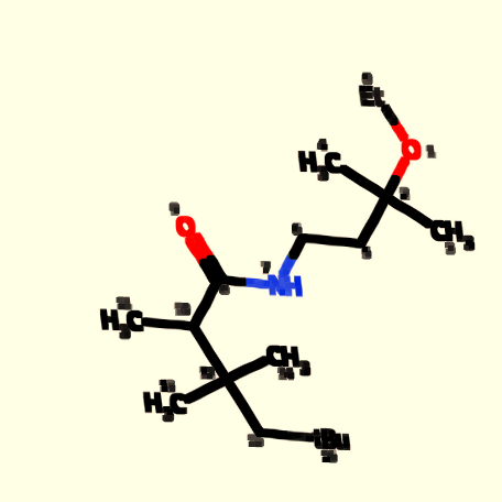 CCOC(C)(C)CCNC(=O)C(C)C(C)(C)CC(C)(C)C